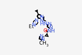 CCN1CCN(c2cc(C3CC3)cn3cc(CNc4cc(NC(=O)[C@H]5C[C@@H]5c5nccc(C)n5)ncn4)nc23)CC1